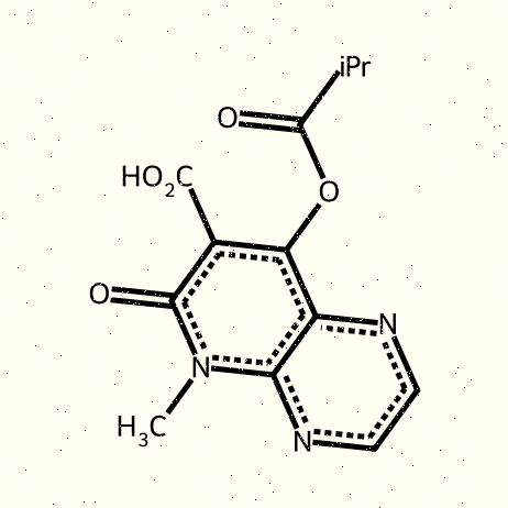 CC(C)C(=O)Oc1c(C(=O)O)c(=O)n(C)c2nccnc12